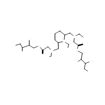 O=C(O)CN(CC(=O)NCC(O)C(O)CO)CC1CCCC(CN(CC(=O)O)CC(=O)NCC(O)C(O)CO)N1CC(=O)O